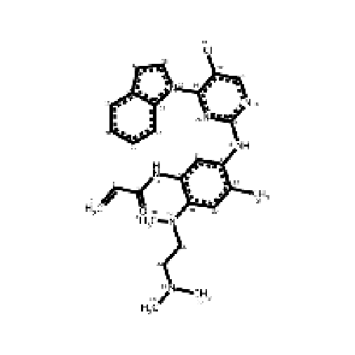 C=CC(=O)Nc1cc(Nc2ncc(Cl)c(-n3ccc4ccccc43)n2)c(C)cc1N(C)CCN(C)C